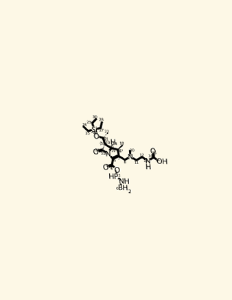 BNPOC(=O)C1=C(CN(C)CCNC(=O)O)[C@H](C)[C@@H]2[C@@H]([C@@H](C)O[Si](CC)(CC)CC)C(=O)N12